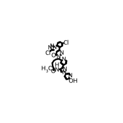 C[C@@H]1CCC[C@H](n2cnc(-c3cc(Cl)ccc3-n3cc(Cl)nn3)cc2=O)c2cc(ccn2)-c2nn(-c3ccc(O)nc3)cc2NC1=O